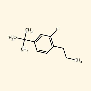 CCCc1ccc(C(C)(C)C)cc1F